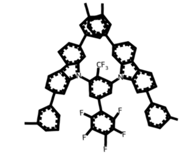 Cc1cccc(-c2ccc3c4ccc(-c5cccc(C)c5)cc4n(-c4cc(-c5c(F)c(F)c(F)c(F)c5F)cc(-n5c6cc(-c7cccc(C)c7)ccc6c6ccc(-c7cccc(C)c7)cc65)c4C(F)(F)F)c3c2)c1